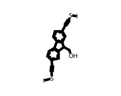 OCC1c2cc(C#CSI)ccc2-c2ccc(C#CSI)cc21